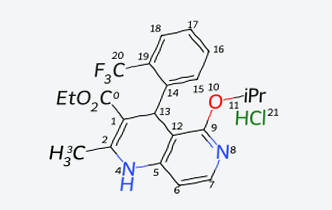 CCOC(=O)C1=C(C)Nc2ccnc(OC(C)C)c2C1c1ccccc1C(F)(F)F.Cl